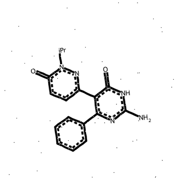 CC(C)n1nc(-c2c(-c3ccccc3)nc(N)[nH]c2=O)ccc1=O